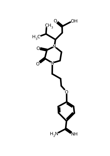 CC(C)C(CC(=O)O)N1CCN(CCCOc2ccc(C(=N)N)cc2)C(=O)C1=O